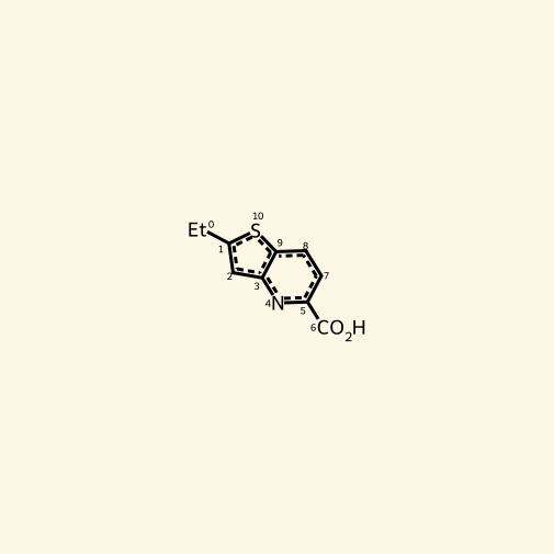 CCc1cc2nc(C(=O)O)ccc2s1